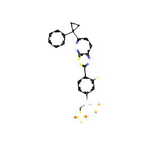 CS(=O)(=O)CN(c1ccc(-c2nc3ccc(C4(c5ccccc5)CC4)nc3s2)c(F)c1)[SH](=O)=O